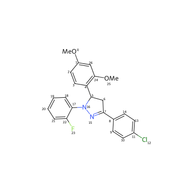 COc1ccc(C2CC(c3ccc(Cl)cc3)=NN2c2ccccc2F)c(OC)c1